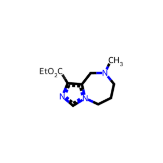 CCOC(=O)c1ncn2c1CN(C)CCC2